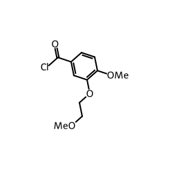 COCCOc1cc(C(=O)Cl)ccc1OC